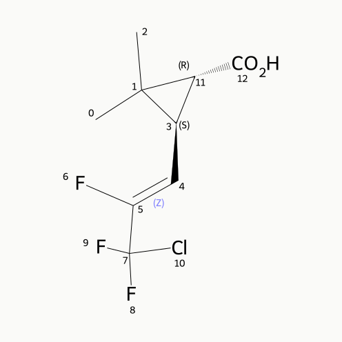 CC1(C)[C@H](/C=C(\F)C(F)(F)Cl)[C@H]1C(=O)O